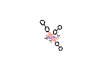 CC(C)OP(N=P(NP(Oc1ccc(-c2ccccc2)cc1)OC(C)C)(Oc1ccc(-c2ccccc2)cc1)OC(C)C)Oc1ccc(-c2ccccc2)cc1